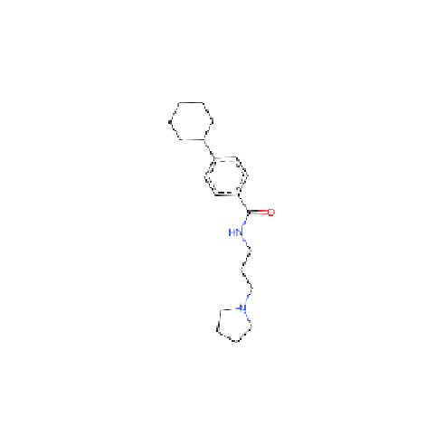 O=C(NCCCN1CCCC1)c1ccc(C2CCCCC2)cc1